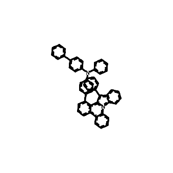 c1ccc(-c2ccc(N(c3ccccc3)c3ccc(-c4cccc5c6ccccc6n6c7ccccc7c(-c7ccccc7)c6c45)cc3)cc2)cc1